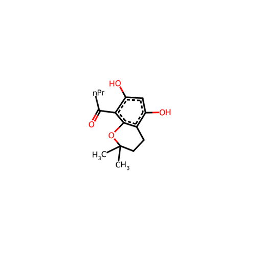 CCCC(=O)c1c(O)cc(O)c2c1OC(C)(C)CC2